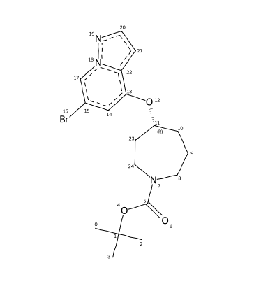 CC(C)(C)OC(=O)N1CCC[C@@H](Oc2cc(Br)cn3nccc23)CC1